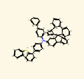 c1ccc(-c2ccc(N(c3ccc(-c4cccc5c4sc4ccccc45)cc3)c3ccc4c(c3)C3(c5ccccc5-c5ccccc5-c5ccccc53)c3ccccc3-4)cc2)cc1